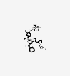 CCN1CCCC1CNc1nc(Nc2ccc(OCOP(=O)(O)O)c(F)c2)nc(NC2CCCCCC2)n1